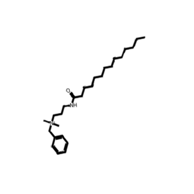 CCCCCCCCCCCCCC(=O)NCCC[N+](C)(C)Cc1ccccc1